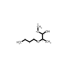 CCCCOC(C)C(O)OC